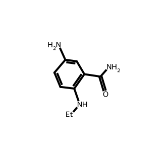 CCNc1ccc(N)cc1C(N)=O